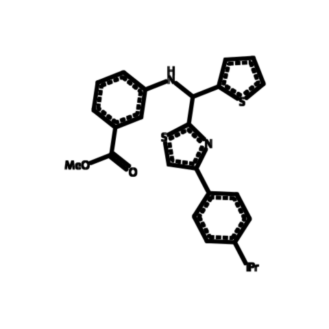 COC(=O)c1cccc(NC(c2cccs2)c2nc(-c3ccc(C(C)C)cc3)cs2)c1